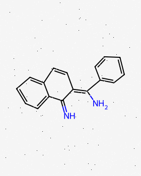 N=C1/C(=C(\N)c2ccccc2)C=Cc2ccccc21